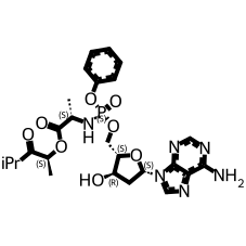 CC(C)C(=O)[C@H](C)OC(=O)[C@H](C)N[P@](=O)(OC[C@@H]1O[C@H](n2cnc3c(N)ncnc32)C[C@H]1O)Oc1ccccc1